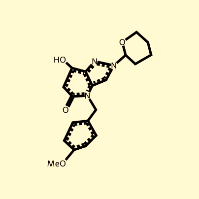 COc1ccc(Cn2c(=O)cc(O)c3nn(C4CCCCO4)cc32)cc1